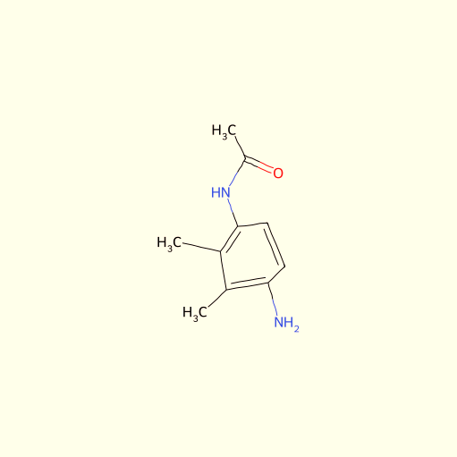 CC(=O)Nc1ccc(N)c(C)c1C